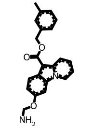 Cc1cccc(COC(=O)c2c3ccc(OCN)cc3n3ccccc23)c1